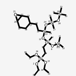 CCO[Si](CC[Si](C)(O[SiH](C)C)O[Si](C)(CCC1CCC2OC2C1)O[Si](C)(C)O[Si](C)(C)C)(OCC)OCC